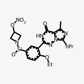 CCCc1nc(C)c2c(=O)[nH]c(-c3cc([S+]([O-])N4CC(O[N+](=O)[O-])C4)ccc3OCC)nn12